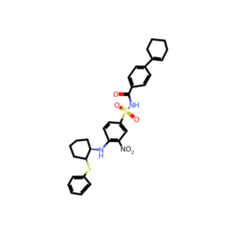 O=C(NS(=O)(=O)c1ccc(N[C@@H]2CCCC[C@@H]2Sc2ccccc2)c([N+](=O)[O-])c1)c1ccc(C2=CCCCC2)cc1